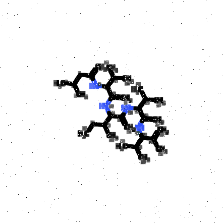 C=C(CC(C)C)NC(C(=C)NC(C(=C)NC(C(=C)NC(C(=C)C)C(C)C)C(C)C)C(C)CC)C(C)C